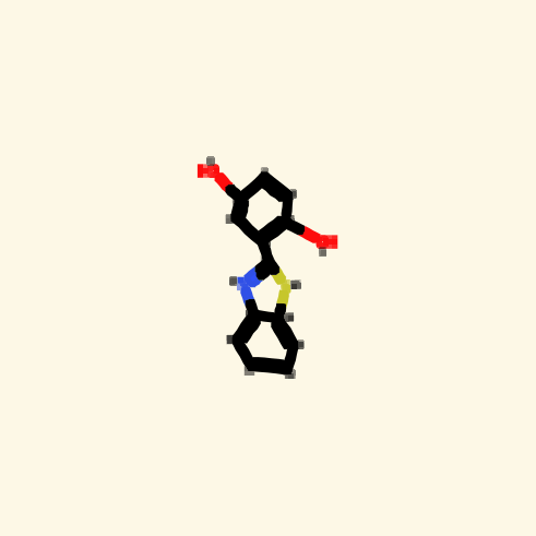 Oc1ccc(O)c(-c2nc3ccccc3s2)c1